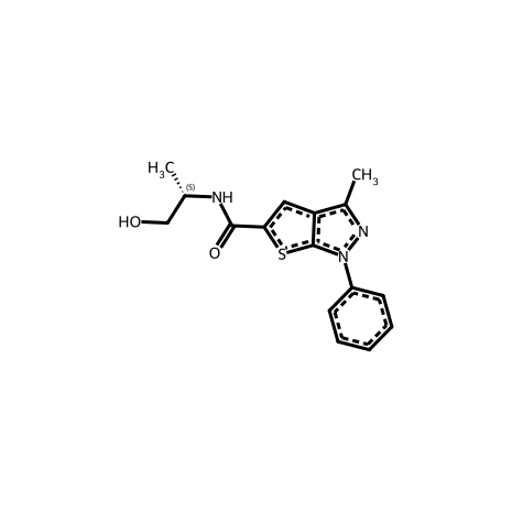 Cc1nn(-c2ccccc2)c2sc(C(=O)N[C@@H](C)CO)cc12